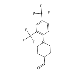 O=CC1CCN(c2ccc(C(F)(F)F)cc2C(F)(F)F)CC1